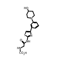 O=C(O)NCC(=O)Nc1nc(-c2cccc(N3CCC(O)CC3)c2)cs1